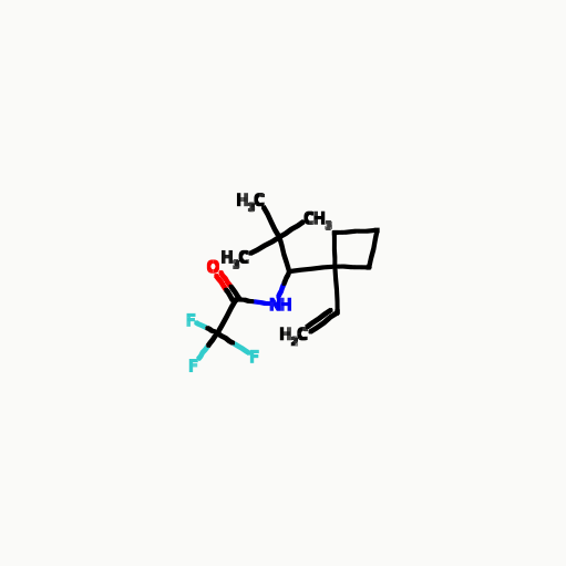 C=CC1(C(NC(=O)C(F)(F)F)C(C)(C)C)CCC1